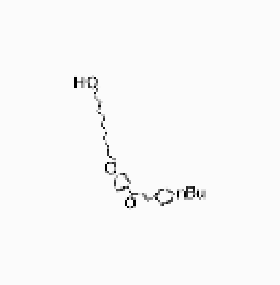 CCCCc1ccc(C=CC(=O)c2ccc(OCCCCCCCCCCCO)cc2)cc1